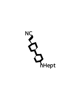 CCCCCCC[C@H]1CC[C@H]([C@H]2CC[C@H](C=CC#N)CC2)CC1